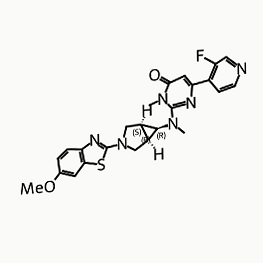 COc1ccc2nc(N3C[C@@H]4[C@H](C3)[C@@H]4N(C)c3nc(-c4ccncc4F)cc(=O)n3C)sc2c1